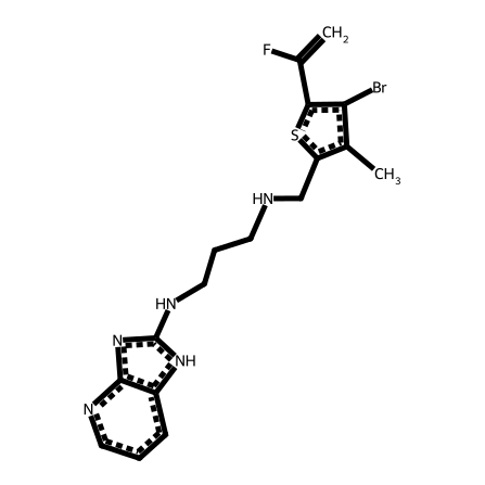 C=C(F)c1sc(CNCCCNc2nc3ncccc3[nH]2)c(C)c1Br